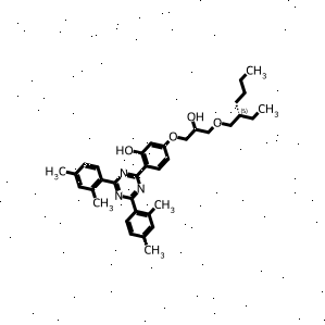 CCCC[C@H](CC)COCC(O)COc1ccc(-c2nc(-c3ccc(C)cc3C)nc(-c3ccc(C)cc3C)n2)c(O)c1